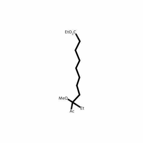 CCOC(=O)CCCCCCCC(CC)(OC)C(C)=O